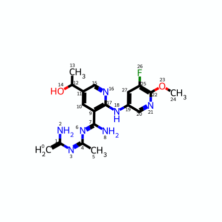 C=C(N)/N=C(C)\N=C(/N)c1cc(C(C)O)cnc1Nc1cnc(OC)c(F)c1